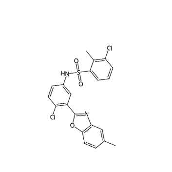 Cc1ccc2oc(-c3cc(NS(=O)(=O)c4cccc(Cl)c4C)ccc3Cl)nc2c1